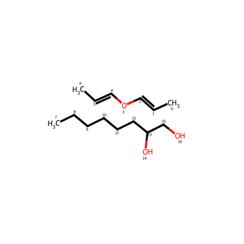 CC=COC=CC.CCCCCCC(O)CO